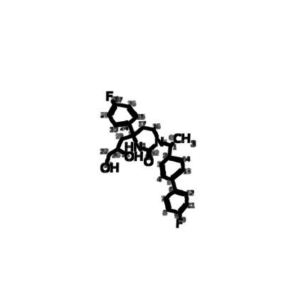 CC(c1ccc(-c2ccc(F)cc2)cc1)N1CCC(CC(O)CO)(c2ccc(F)cc2)NC1=O